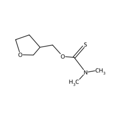 CN(C)C(=S)OCC1CCOC1